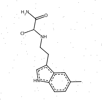 Cc1ccc2[nH]cc(CCNC(Cl)C(N)=O)c2c1